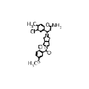 CSc1ccc(Cl)c(C(=O)N2CC3CN(C(CC(N)=O)c4ccc(C)c(Cl)c4)CC3C2)c1